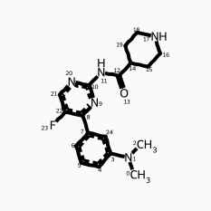 CN(C)c1cccc(-c2nc(NC(=O)C3CCNCC3)ncc2F)c1